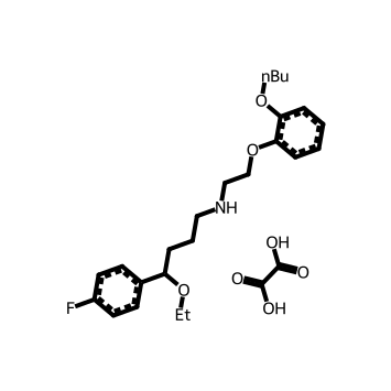 CCCCOc1ccccc1OCCNCCCC(OCC)c1ccc(F)cc1.O=C(O)C(=O)O